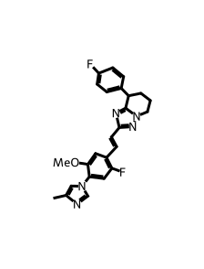 COc1cc(/C=C/c2nc3n(n2)CCCC3c2ccc(F)cc2)c(F)cc1-n1cnc(C)c1